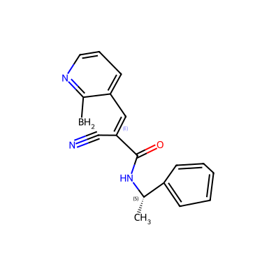 Bc1ncccc1/C=C(\C#N)C(=O)N[C@@H](C)c1ccccc1